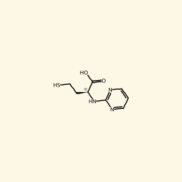 O=C(O)[C@H](CCS)Nc1ncccn1